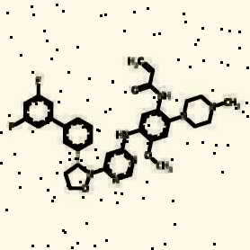 C=CC(=O)Nc1cc(Nc2cc(N3OCC[C@@H]3c3cccc(-c4cc(F)cc(F)c4)c3)ncn2)c(OC)cc1N1CCN(C)CC1